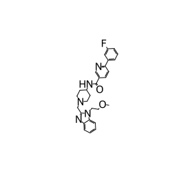 COCCn1c(CN2CCC(NC(=O)c3ccc(-c4cccc(F)c4)nc3)CC2)nc2ccccc21